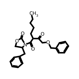 CCCCCC(C(=O)COCc1ccccc1)C(=O)N1C(=O)OCC1Cc1ccccc1